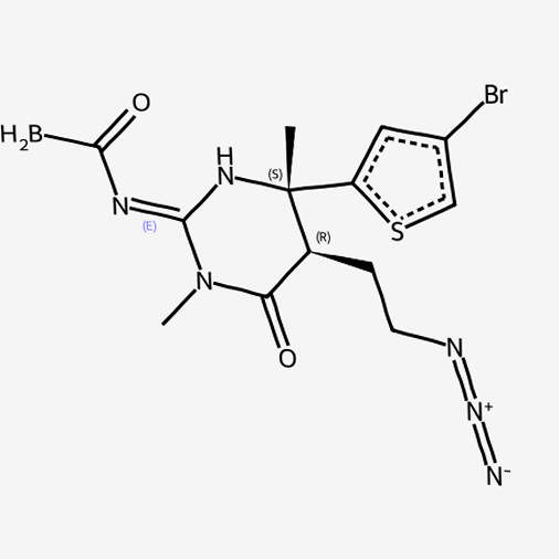 BC(=O)/N=C1\N[C@](C)(c2cc(Br)cs2)[C@@H](CCN=[N+]=[N-])C(=O)N1C